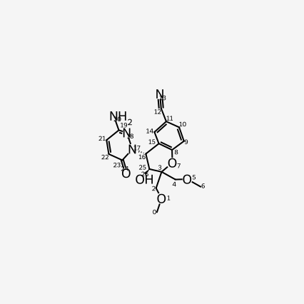 COCC1(COC)Oc2ccc(C#N)cc2[C@@H](n2nc(N)ccc2=O)[C@@H]1O